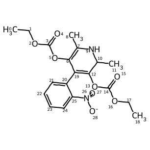 CCOC(=O)OC1=C(C)NC(C)C(OC(=O)OCC)=C1c1ccccc1[N+](=O)[O-]